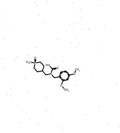 COc1ccc(CN(CC2CCP(C)(=O)CC2)C(=O)O)c(OC)c1